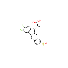 CC1=C(C(C)C(=O)O)c2cc(F)c(F)cc2C1=Cc1ccc([S+](C)[O-])cc1